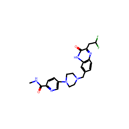 CNC(=O)c1ccc(N2CCN(Cc3ccc4nc(CC(F)F)c(=O)[nH]c4c3)CC2)cn1